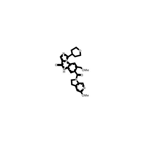 COCc1cc2c(cc1C(=O)N1CCc3cc(OC)ncc31)[nH]c(=O)c1cnc(C3CCOCC3)n12